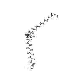 CCCCCCCCCCCCSP(O)(=S)SCCCCCCCCCCCC